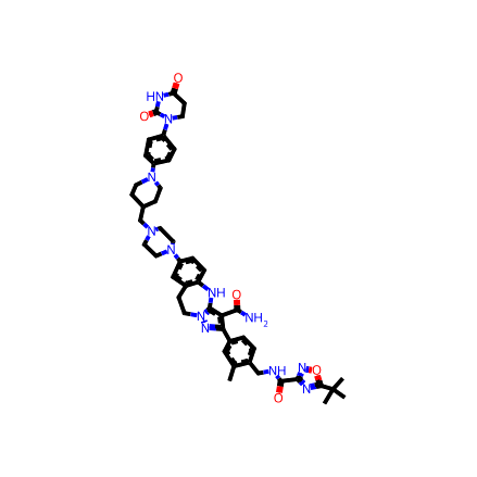 Cc1cc(-c2nn3c(c2C(N)=O)Nc2ccc(N4CCN(CC5CCN(c6ccc(N7CCC(=O)NC7=O)cc6)CC5)CC4)cc2CC3)ccc1CNC(=O)c1noc(C(C)(C)C)n1